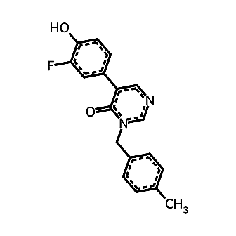 Cc1ccc(Cn2cncc(-c3ccc(O)c(F)c3)c2=O)cc1